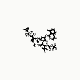 C=C[C@@H]1C[C@]1(NC(=O)[C@@H]1C[C@@H](Oc2nccc3cccc(C)c23)CN1C(=O)[C@@H](NC(=O)OC(C)(C)C)C(C)(C)C)C(=O)NS(=O)(=O)C1CC1